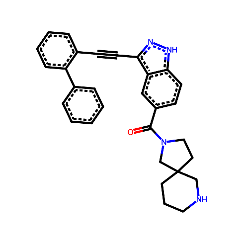 O=C(c1ccc2[nH]nc(C#Cc3ccccc3-c3ccccc3)c2c1)N1CCC2(CCCNC2)C1